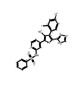 N#Cc1c(-c2ccnc(NS(=O)(=O)c3ccccc3)c2)sc(-c2nnc[nH]2)c1-c1ccc(Cl)cc1I